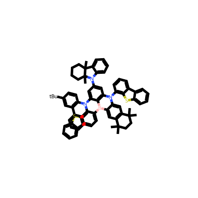 CC(C)(C)c1ccc(N2c3cc(N4c5ccccc5C5(C)CCCCC45C)cc4c3B(c3cc5c(cc3N4c3cccc4c3sc3ccccc34)C(C)(C)CCC5(C)C)c3ccc4c(sc5ccccc54)c32)c(-c2ccccc2)c1